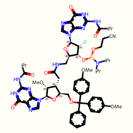 COc1ccc(C(OC[C@H]2O[C@@H](n3cnc4c(=O)[nH]c(NC(=O)C(C)C)nc43)[C@H](OC)[C@@H]2CC(=O)NC[C@H]2O[C@@H](n3cnc4c(=O)[nH]c(NC(=O)C(C)C)nc43)[C@H](F)[C@@H]2OP(OCCC#N)N(C(C)C)C(C)C)(c2ccccc2)c2ccc(OC)cc2)cc1